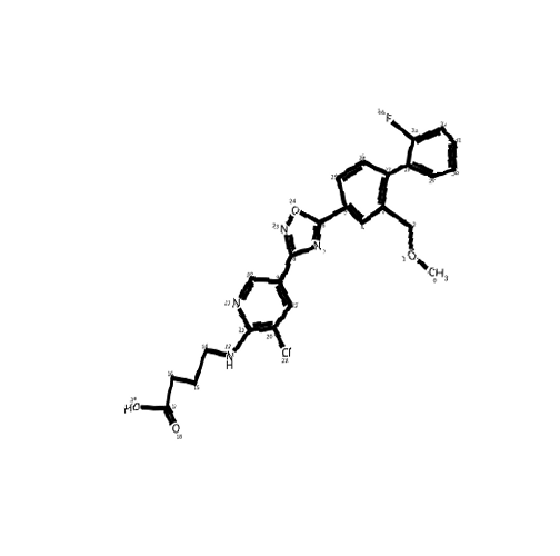 COCc1cc(-c2nc(-c3cnc(NCCCC(=O)O)c(Cl)c3)no2)ccc1-c1ccccc1F